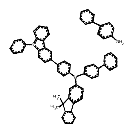 CC1(C)c2ccccc2-c2ccc(N(c3ccc(-c4ccccc4)cc3)c3ccc(-c4ccc5c(c4)c4ccccc4n5-c4ccccc4)cc3)cc21.Nc1ccc(-c2ccccc2)cc1